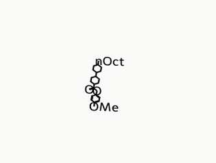 CCCCCCCCC1CCC(C2CCC(C(=O)Oc3ccc(OC)cc3)CC2)CC1